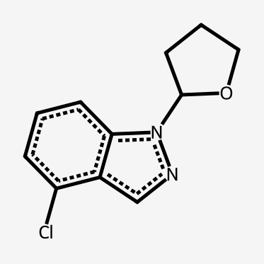 Clc1cccc2c1cnn2C1CCCO1